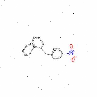 O=[N+]([O-])c1ccc(Cc2cccc3ccccc23)cc1